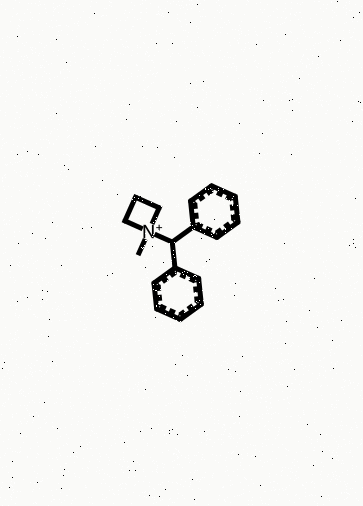 C[N+]1(C(c2ccccc2)c2ccccc2)CCC1